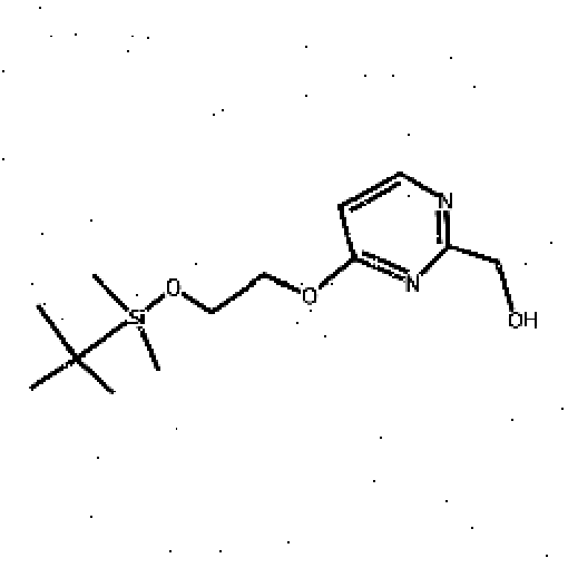 CC(C)(C)[Si](C)(C)OCCOc1ccnc(CO)n1